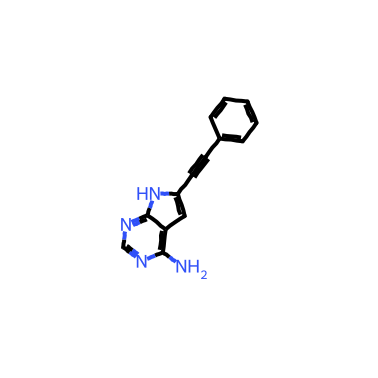 Nc1ncnc2[nH]c(C#Cc3ccccc3)cc12